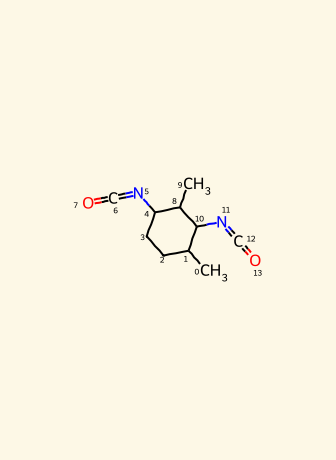 CC1CCC(N=C=O)C(C)C1N=C=O